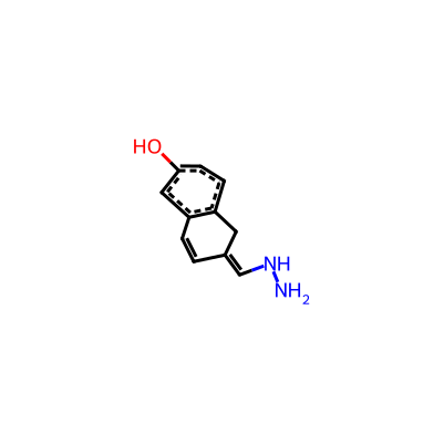 NN/C=C1/C=Cc2cc(O)ccc2C1